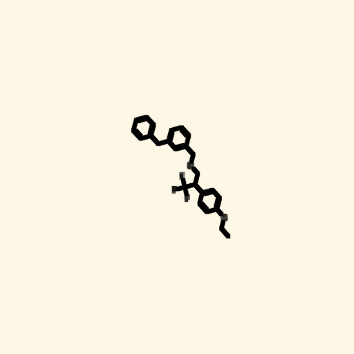 CCOc1ccc(C(COCc2cccc(Cc3ccccc3)c2)C(F)(F)F)cc1